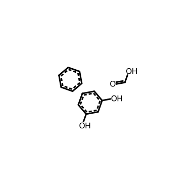 O=CO.Oc1cccc(O)c1.c1ccccc1